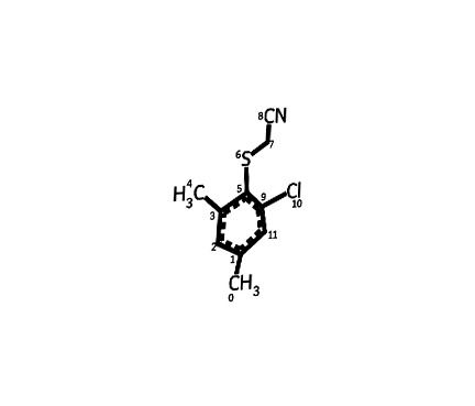 Cc1cc(C)c(SCC#N)c(Cl)c1